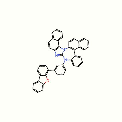 c1cc(-c2cccc3c2oc2ccccc23)cc(N2c3ccccc3-c3c(ccc4ccccc34)-n3c2nc2ccc4ccccc4c23)c1